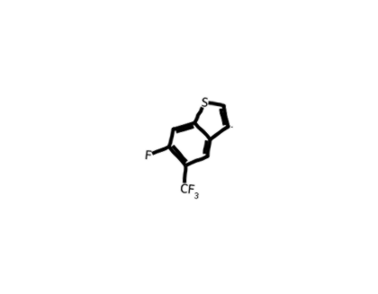 Fc1cc2sc[c]c2cc1C(F)(F)F